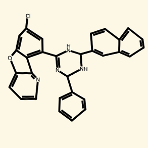 Clc1cc(C2=NC(c3ccccc3)NC(c3ccc4ccccc4c3)N2)c2c(c1)oc1cccnc12